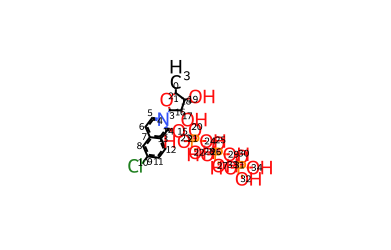 CC1OC(n2ccc3cc(Cl)ccc3c2=O)C(O)C1O.O=P(O)(O)O.O=P(O)(O)O.O=P(O)(O)O